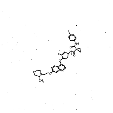 C[C@@H]1COCCN1CCOc1cc2nccc(OC3=CCC(NC(=O)C4(C(=O)Nc5ccc(F)cc5)CC4)C=C3F)c2cn1